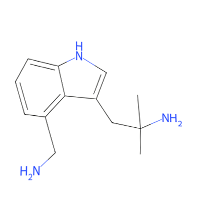 CC(C)(N)Cc1c[nH]c2cccc(CN)c12